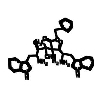 CC(C)(C(=O)C(N)Cc1c[nH]c2ccccc12)C(N)(C(=O)OCc1ccccc1)C(=O)C(N)Cc1c[nH]c2ccccc12